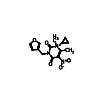 CC1=C([N+](=O)[O-])C(=O)N(Cc2ccoc2)C(=O)[N+]1(C)C1CC1